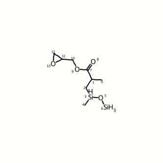 CC(C[SiH](C)O[SiH3])C(=O)OCC1CO1